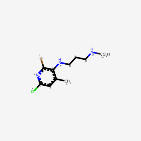 Cc1cc(Cl)nc(Br)c1NCCCNC(=O)O